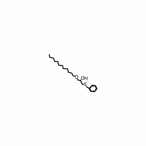 CCCCCCCCCCCCOCC(O)CSCc1ccccc1